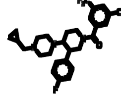 O=C(c1cc(C(F)(F)F)cc(C(F)(F)F)c1)N1CCC(N2CCN(CC3CC3)CC2)C(c2ccc(F)cc2)C1